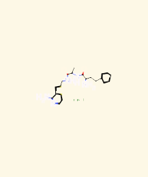 CC(NC(=O)C(N)CCc1ccccc1)C(=O)NCc1cc2c(N)nccc2s1.Cl.Cl